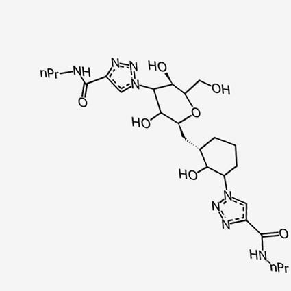 CCCNC(=O)c1cn(C2CCC[C@@H](C[C@@H]3OC(CO)[C@H](O)C(n4cc(C(=O)NCCC)nn4)C3O)C2O)nn1